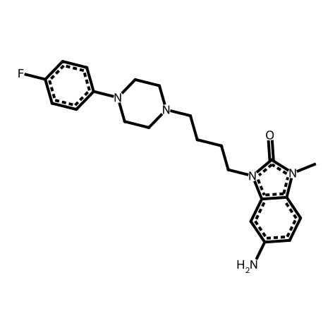 Cn1c(=O)n(CCCCN2CCN(c3ccc(F)cc3)CC2)c2cc(N)ccc21